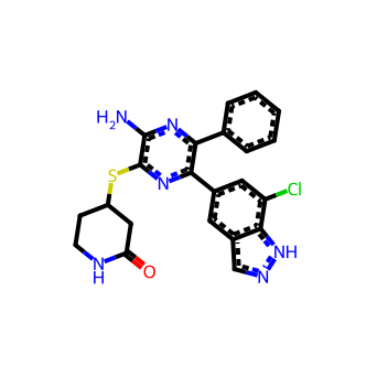 Nc1nc(-c2ccccc2)c(-c2cc(Cl)c3[nH]ncc3c2)nc1SC1CCNC(=O)C1